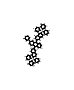 c1ccc(-c2ccc3c(-c4ccc5cc([Si](c6ccccc6)(c6ccccc6)c6ccccc6)ccc5c4)c4ccccc4c(-c4ccc5cc([Si](c6ccccc6)(c6ccccc6)c6ccccc6)ccc5c4)c3c2)cc1